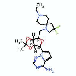 CCN1CCC2(CC1)CC(F)(F)CN2C[C@H]1O[C@@H](c2ccc3c(N)ncnn23)[C@@H]2OC(C)(C)O[C@@H]21